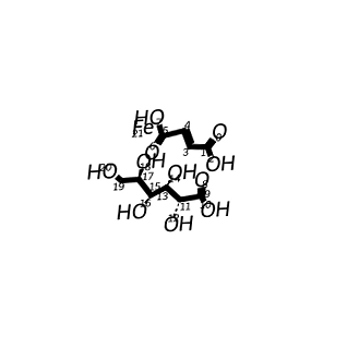 O=C(O)/C=C/C(=O)O.O=C(O)[C@H](O)[C@@H](O)[C@H](O)[C@H](O)CO.[Fe]